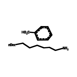 CCCCCCCCCCCCCCCCN.O=C(O)c1ccccc1